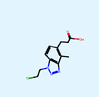 Cc1c(CCC(=O)O)ccc2c1nnn2CCCl